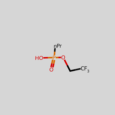 CCCP(=O)(O)OCC(F)(F)F